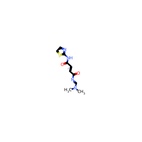 CN(C)C=NC(=O)/C=C/C(=O)Nc1nccs1